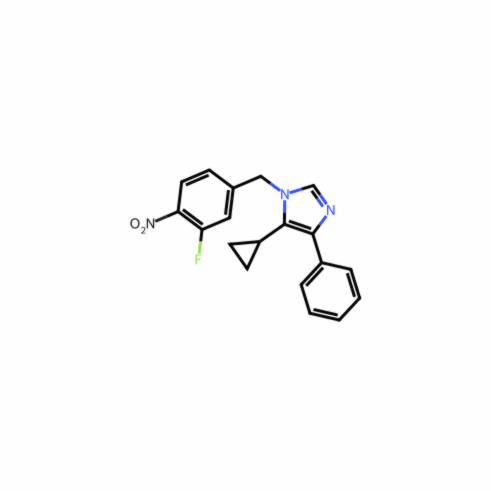 O=[N+]([O-])c1ccc(Cn2cnc(-c3ccccc3)c2C2CC2)cc1F